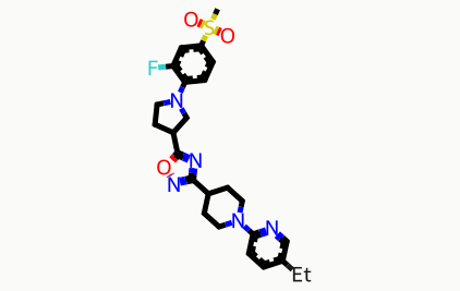 CCc1ccc(N2CCC(c3noc(C4CCN(c5ccc(S(C)(=O)=O)cc5F)C4)n3)CC2)nc1